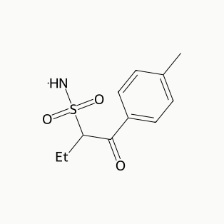 CCC(C(=O)c1ccc(C)cc1)S([NH])(=O)=O